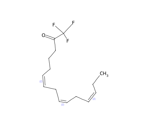 CC/C=C\C/C=C\C/C=C\CCCC(=O)C(F)(F)F